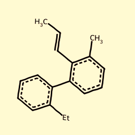 CC=Cc1c(C)cccc1-c1ccccc1CC